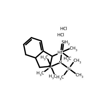 C[Si](C)(C)[N]([Si](C)(C)C)[Hf]([CH3])([CH3])(=[SiH2])[CH]1CCC2CC=CC=C21.Cl.Cl